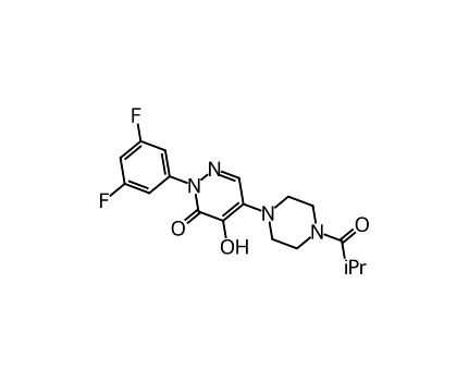 CC(C)C(=O)N1CCN(c2cnn(-c3cc(F)cc(F)c3)c(=O)c2O)CC1